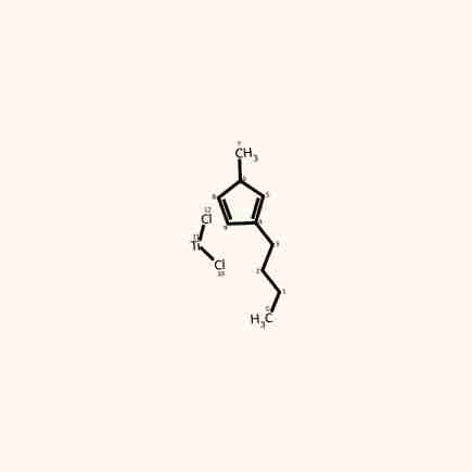 CCCCC1=C[C](C)C=C1.[Cl][Ti][Cl]